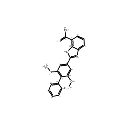 COc1cc(-c2nc3cccc(C(=O)O)c3o2)cc(OC)c1-c1ccccc1